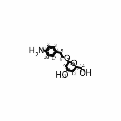 Nc1ccc(CCOC2CC(O)CC(CO)O2)cc1